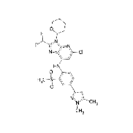 Cc1cc(-c2ccc(Nc3cc(Cl)nc4c3nc(C(F)F)n4C3CCCCO3)c(S(C)(=O)=O)c2)nn1C